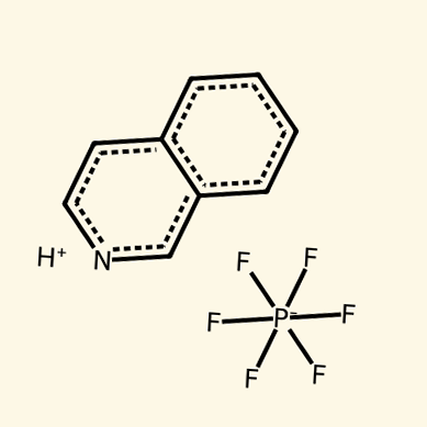 F[P-](F)(F)(F)(F)F.[H+].c1ccc2cnccc2c1